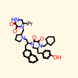 CC(C)C1CNC(=O)C(=O)N1CC1CCCN1CC(Cc1ccc2ccccc2c1)N1CC(Cc2ccc(O)cc2)N(CC2CCCCC2)C(=O)C1=O